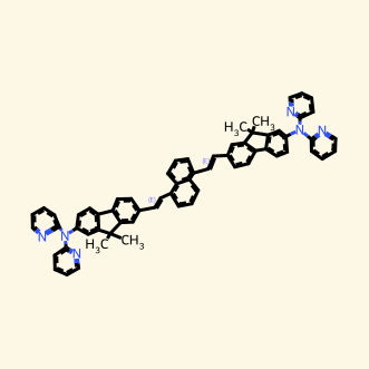 CC1(C)c2cc(/C=C/c3cccc4c(/C=C/c5ccc6c(c5)C(C)(C)c5cc(N(c7ccccn7)c7ccccn7)ccc5-6)cccc34)ccc2-c2ccc(N(c3ccccn3)c3ccccn3)cc21